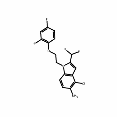 Nc1ccc2c(cc(C(F)F)n2CCOc2ccc(F)cc2F)c1Cl